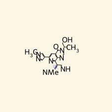 CN/C=C(\C=N)c1nc(-c2cnn(C)c2)cc2c(=O)n(C(C)CO)cnc12